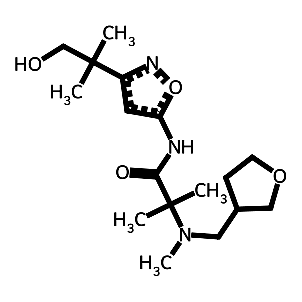 CN(CC1CCOC1)C(C)(C)C(=O)Nc1cc(C(C)(C)CO)no1